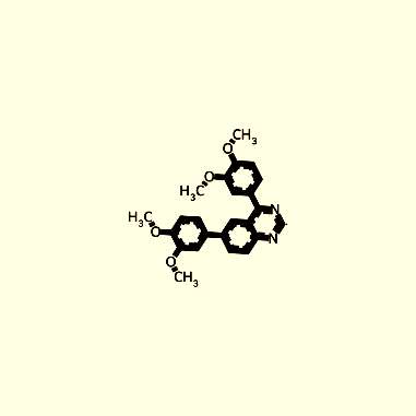 COc1ccc(-c2ccc3n[c]nc(-c4ccc(OC)c(OC)c4)c3c2)cc1OC